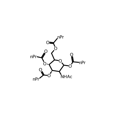 CCCC(=O)OCC1OC(OC(=O)CCC)C(NC(C)=O)[C@@H](OC(=O)CCC)[C@@H]1OC(=O)CCC